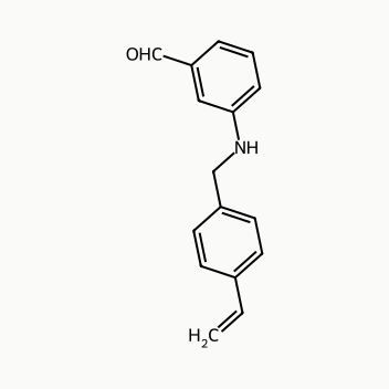 C=Cc1ccc(CNc2cccc(C=O)c2)cc1